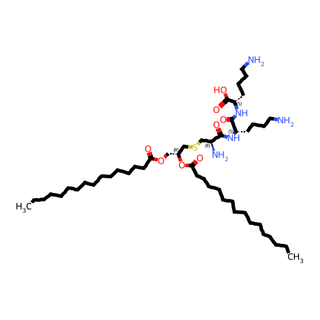 CCCCCCCCCCCCCCCC(=O)OC[C@H](CSC[C@H](N)C(=O)N[C@@H](CCCCN)C(=O)N[C@@H](CCCCN)C(=O)O)OC(=O)CCCCCCCCCCCCCCC